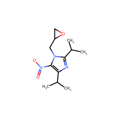 CC(C)c1nc(C(C)C)n(CC2CO2)c1[N+](=O)[O-]